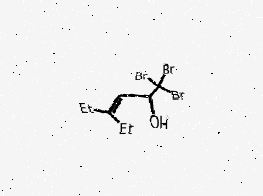 CCC(=CC(O)C(Br)(Br)Br)CC